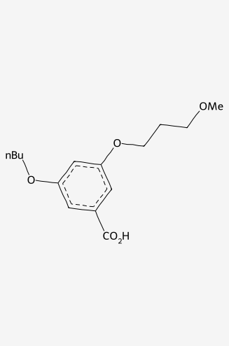 CCCCOc1cc(OCCCOC)cc(C(=O)O)c1